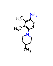 Cc1c(N)ccc(N2CCC(C)CC2)c1C